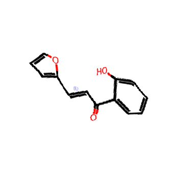 O=C(/C=C/c1ccco1)c1ccccc1O